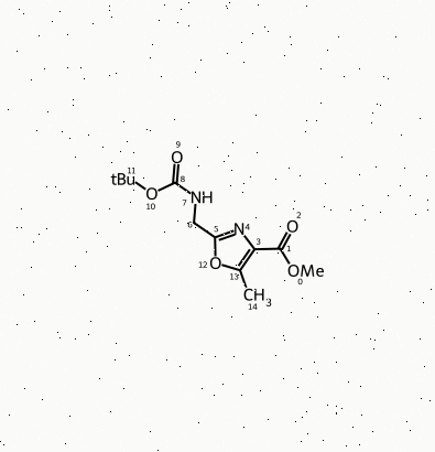 COC(=O)c1nc(CNC(=O)OC(C)(C)C)oc1C